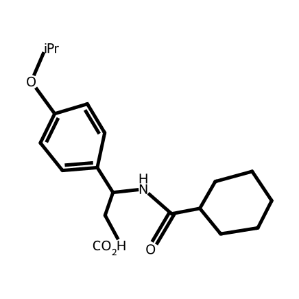 CC(C)Oc1ccc(C(CC(=O)O)NC(=O)C2CCCCC2)cc1